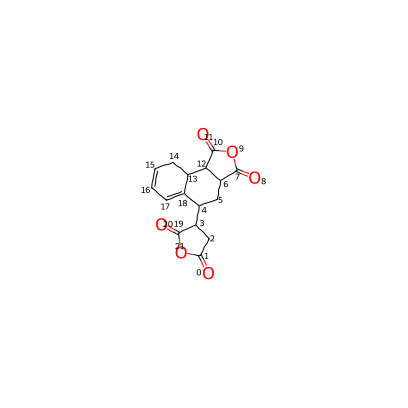 O=C1CC(C2CC3C(=O)OC(=O)C3C3CC=CC=C23)C(=O)O1